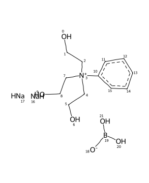 OCC[N+](CCO)(CCO)c1ccccc1.[NaH].[NaH].[O-]B(O)O